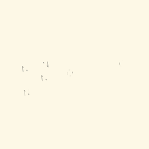 CC(Oc1ccc(Cl)cc1)c1ccnc2ncnn12